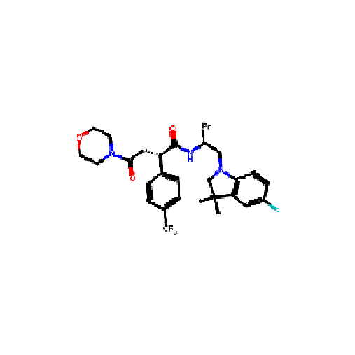 CC(C)[C@@H](CN1CC(C)(C)c2cc(F)ccc21)NC(=O)[C@@H](CC(=O)N1CCOCC1)c1ccc(C(F)(F)F)cc1